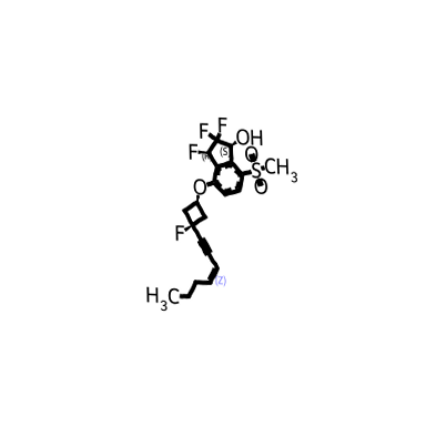 CCC/C=C\C#C[C@]1(F)C[C@@H](Oc2ccc(S(C)(=O)=O)c3c2[C@@H](F)C(F)(F)[C@H]3O)C1